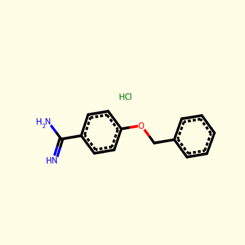 Cl.N=C(N)c1ccc(OCc2ccccc2)cc1